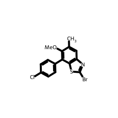 COc1c(C)cc2nc(Br)sc2c1-c1ccc(Cl)cc1